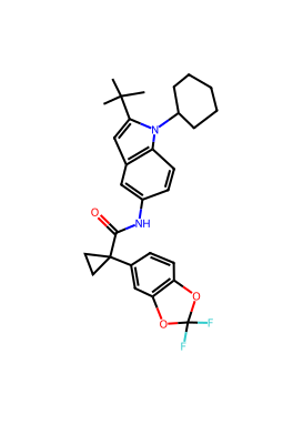 CC(C)(C)c1cc2cc(NC(=O)C3(c4ccc5c(c4)OC(F)(F)O5)CC3)ccc2n1C1CCCCC1